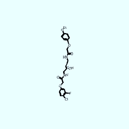 CCOc1ccc(OCC(=O)NCC[C@H](O)CNC(=O)COc2ccc(Cl)c(F)c2)cc1